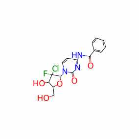 O=C(Nc1ccn(C2OC(CO)C(O)C2(F)Cl)c(=O)n1)c1ccccc1